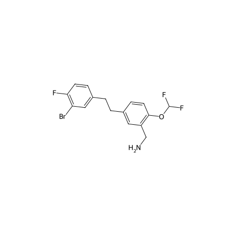 NCc1cc(CCc2ccc(F)c(Br)c2)ccc1OC(F)F